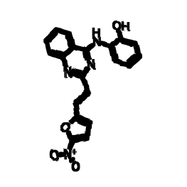 O=[N+]([O-])c1ccc(C=Cc2nc(Nc3ccccc3O)c3ccccc3n2)o1